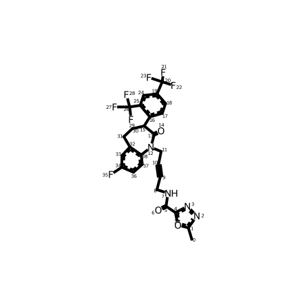 Cc1nnc(C(=O)NCC#CCN2C(=O)C(c3ccc(C(F)(F)F)cc3C(F)(F)F)CCc3cc(F)ccc32)o1